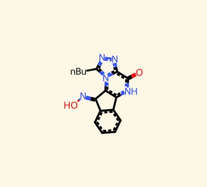 CCCCc1nnc2c(=O)[nH]c3c(n12)C(=NO)c1ccccc1-3